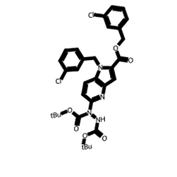 CC(C)(C)OC(=O)NN(C(=O)OC(C)(C)C)c1ccc2c(cc(C(=O)OCc3cccc(Cl)c3)n2Cc2cccc(Cl)c2)n1